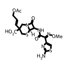 CON=C(C(=O)NC1C(=O)N2CC(C=CCOC(C)=O)(C(=O)O)CS[C@H]12)c1csc(N)n1